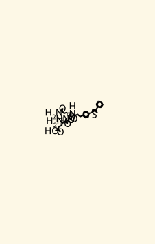 NC(=O)CC[C@H](NC(=O)CCc1ccc(-c2cc(-c3ccccc3)cs2)cc1)C(=O)NC(=O)[C@@H](N)CCC(=O)O